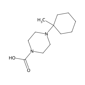 CC1(N2CCN(C(=O)O)CC2)CCCCC1